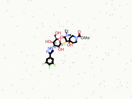 CCN(C)C(=O)[C@@H](S[C@@H]1O[C@H](CO)[C@H](O)[C@H](n2cc(-c3cc(F)c(F)c(F)c3)nn2)[C@H]1O)C1(O)CCN(C(=O)OC)CC1